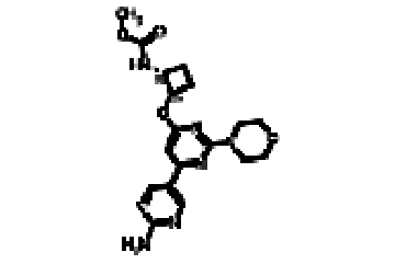 COC(=O)N[C@@H]1CC[C@H]1Oc1cc(-c2cnc(N)nc2)nc(N2CCOCC2)n1